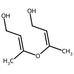 CC(=CCO)OC(C)=CCO